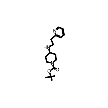 CC(C)(C)OC(=O)N1CCC(NCCc2ccccn2)CC1